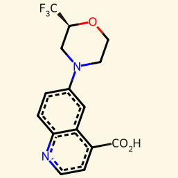 O=C(O)c1ccnc2ccc(N3CCO[C@H](C(F)(F)F)C3)cc12